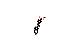 CCOC(=O)c1ccc(C=C(C)c2ccc3c(c2)CCC(C)CC3)cc1